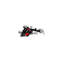 CC[C@@H]1CC(C(=O)NCCNC(=O)CCC(=O)NCCC(C)C)CC(O[C@@H]2O[C@@H](CO)C(O)C(O[C@@H](CC3CCCCC3)C(=O)O)C2NC(C)=O)C1C[C@@H](C)OC(C)C(O)[C@H](O)CO